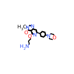 Cn1cnc2cc(-c3ccc(N4CCOCC4)cc3)nc(OCCCN)c2c1=O